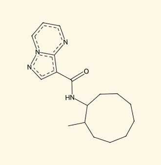 CC1CCCCCCCC1NC(=O)c1cnn2cccnc12